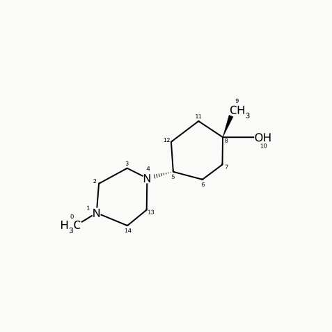 CN1CCN([C@H]2CC[C@@](C)(O)CC2)CC1